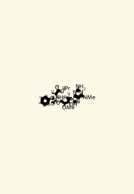 CNc1nc(N)nc2c1ncn2[C@](C)(F)[C@H](O)[C@@H](CO[P@](=O)(N[C@@H](C)C(=O)OC(C)C)Oc1ccccc1)OC